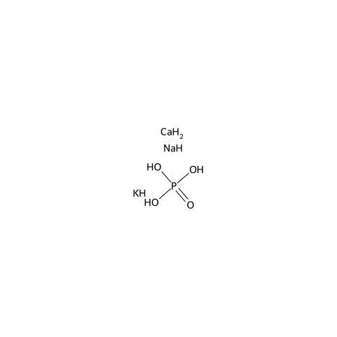 O=P(O)(O)O.[CaH2].[KH].[NaH]